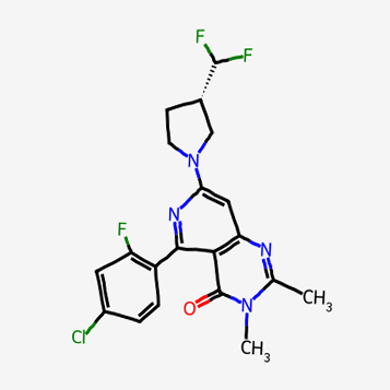 Cc1nc2cc(N3CC[C@H](C(F)F)C3)nc(-c3ccc(Cl)cc3F)c2c(=O)n1C